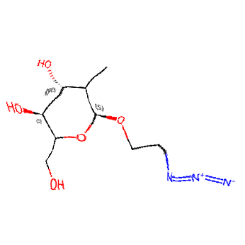 CC1[C@@H](OCCN=[N+]=[N-])OC(CO)[C@@H](O)[C@@H]1O